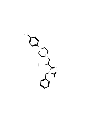 Cc1nnc(C(O)CN2CCN(c3ccc(Cl)cc3)CC2)n1Cc1ccccc1